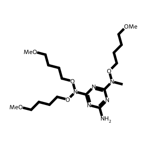 COCCCCON(C)c1nc(N)nc(N(OCCCCOC)OCCCCOC)n1